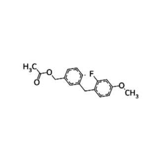 COc1ccc(Cc2[c]ccc(COC(C)=O)c2)c(F)c1